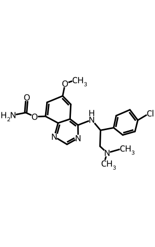 COc1cc(OC(N)=O)c2ncnc(NC(CN(C)C)c3ccc(Cl)cc3)c2c1